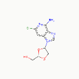 Nc1nc(Cl)cc2c1ncn2C1COC(CO)O1